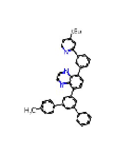 Cc1ccc(-c2cc(-c3ccccc3)cc(-c3ccc(-c4cccc(-c5cc(C(C)(C)C)ccn5)c4)c4nccnc34)c2)cc1